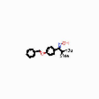 CCCCC(SC)C(=NO)c1ccc(OCc2ccccc2)cc1